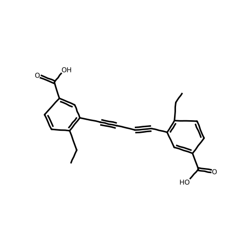 CCc1ccc(C(=O)O)cc1C#CC#Cc1cc(C(=O)O)ccc1CC